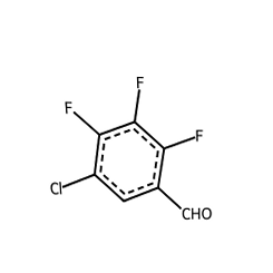 O=Cc1cc(Cl)c(F)c(F)c1F